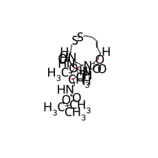 CC(C)[C@H]1NC(=O)[C@H]2CSSCC/C=C/[C@H](CC(=O)N[C@H](CCCCNC(=O)OC(C)(C)C)C(=O)N2)OC(=O)CNC1=O